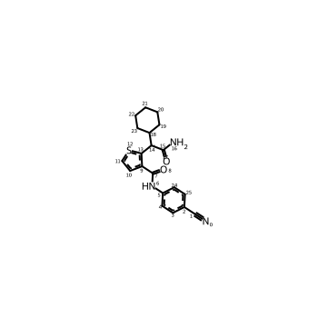 N#Cc1ccc(NC(=O)c2ccsc2[C](C(N)=O)C2CCCCC2)cc1